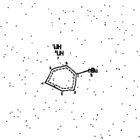 [CH2]CCCc1ccccc1.[LiH].[LiH]